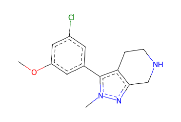 COc1cc(Cl)cc(-c2c3c(nn2C)CNCC3)c1